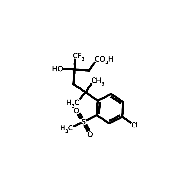 CC(C)(CC(O)(CC(=O)O)C(F)(F)F)c1ccc(Cl)cc1S(C)(=O)=O